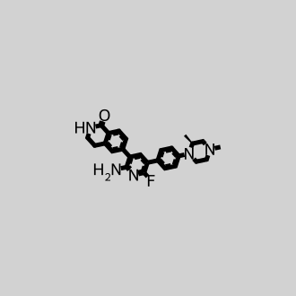 C[C@H]1CN(C)CCN1c1ccc(-c2cc(-c3ccc4c(c3)CCNC4=O)c(N)nc2F)cc1